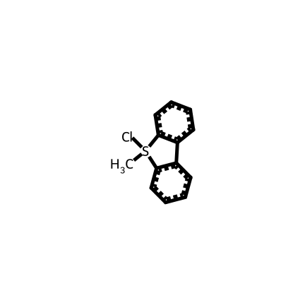 CS1(Cl)c2ccccc2-c2ccccc21